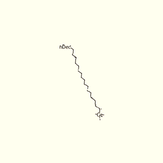 CCCCCCCCCCCCCCCCCCCCCCCCCC[CH][Ge]([CH3])([CH3])[CH3]